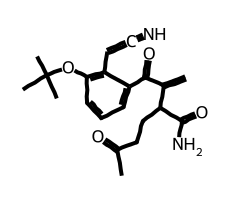 C=C(C(=O)c1cccc(OC(C)(C)C)c1C=C=N)C(CCC(C)=O)C(N)=O